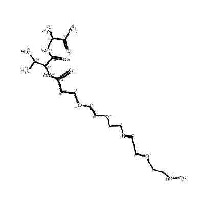 CNCCOCCOCCOCCOCCC(=O)NC(C(=O)NC(C)C(N)=O)C(C)C